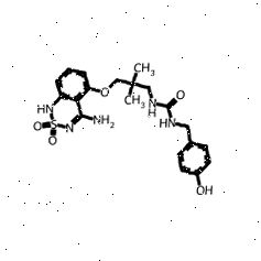 CC(C)(CNC(=O)NCc1ccc(O)cc1)COc1cccc2c1C(N)=NS(=O)(=O)N2